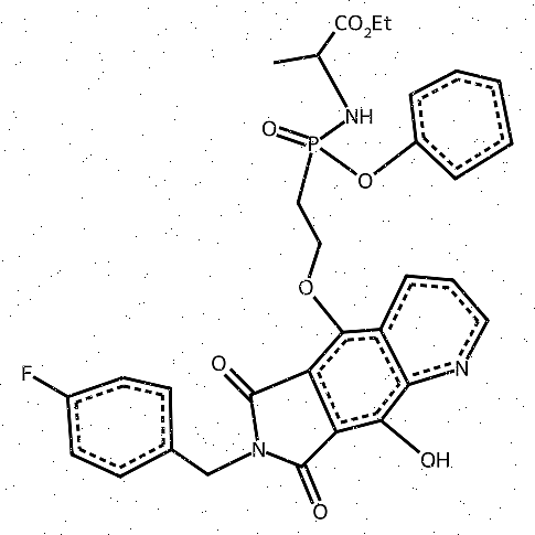 CCOC(=O)C(C)NP(=O)(CCOc1c2c(c(O)c3ncccc13)C(=O)N(Cc1ccc(F)cc1)C2=O)Oc1ccccc1